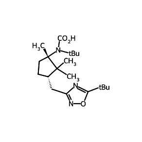 CC(C)(C)c1nc(C[C@@H]2CC[C@](C)(N(C(=O)O)C(C)(C)C)C2(C)C)no1